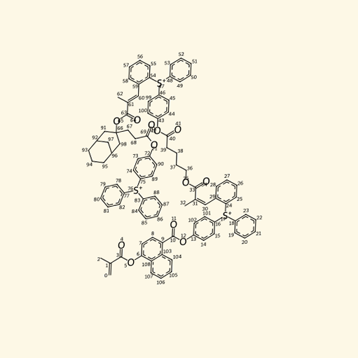 C=C(C)C(=O)Oc1ccc(C(=O)Oc2ccc([S+](c3ccccc3)c3ccccc3/C=C(/C)C(=O)OCCCCC(=O)Oc3ccc([S+](c4ccccc4)c4ccccc4/C=C(\C)C(=O)OC4(CCC(=O)Oc5ccc([S+](c6ccccc6)c6ccccc6)cc5)CC5CCCC(C5)C4)cc3)cc2)c2ccccc12